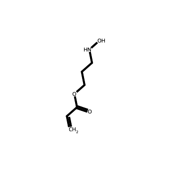 C=CC(=O)OCCCNO